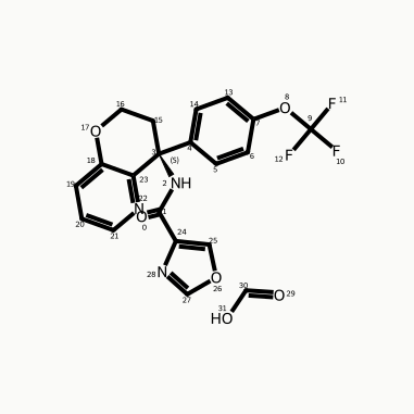 O=C(N[C@]1(c2ccc(OC(F)(F)F)cc2)CCOc2cccnc21)c1cocn1.O=CO